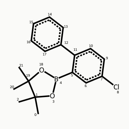 CC1(C)OB(c2cc(Cl)ccc2-c2ccccc2)OC1(C)C